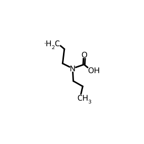 [CH2]CCN(CCC)C(=O)O